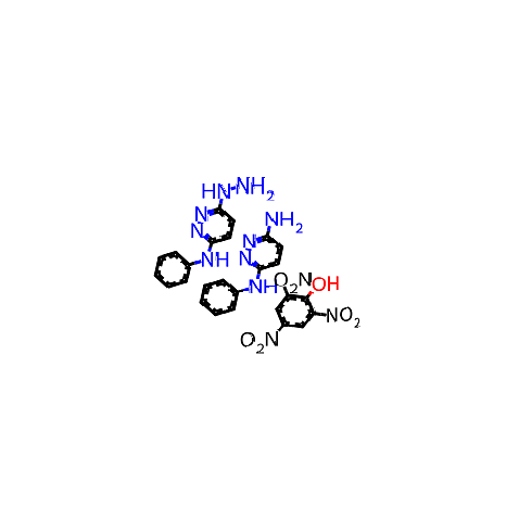 NNc1ccc(Nc2ccccc2)nn1.Nc1ccc(Nc2ccccc2)nn1.O=[N+]([O-])c1cc([N+](=O)[O-])c(O)c([N+](=O)[O-])c1